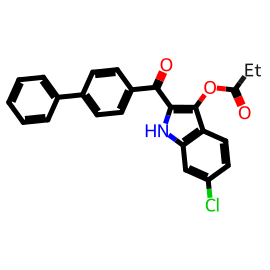 CCC(=O)Oc1c(C(=O)c2ccc(-c3ccccc3)cc2)[nH]c2cc(Cl)ccc12